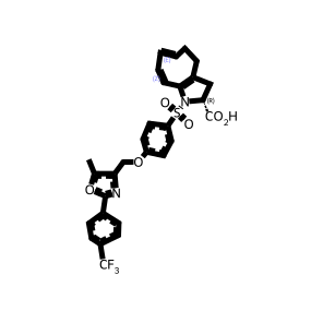 Cc1oc(-c2ccc(C(F)(F)F)cc2)nc1COc1ccc(S(=O)(=O)N2C3=C(CC/C=C/C=C\3)C[C@@H]2C(=O)O)cc1